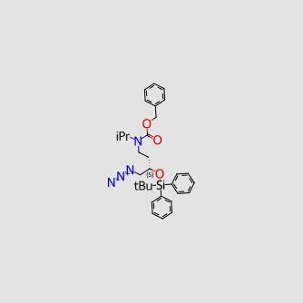 CC(C)N(CC[C@@H](CN=[N+]=[N-])O[Si](c1ccccc1)(c1ccccc1)C(C)(C)C)C(=O)OCc1ccccc1